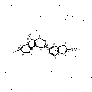 CNC1=Nc2ccc(N3CCc4c(c5ccc(F)cc5n4C)C3)cc2C1